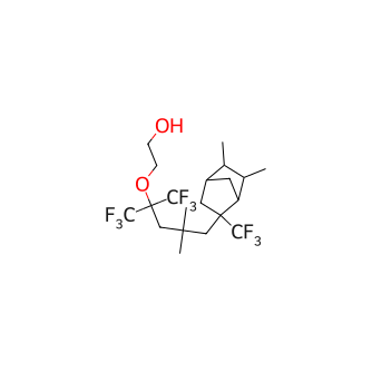 CC1C2CC(C1C)C(CC(C)(C)CC(OCCO)(C(F)(F)F)C(F)(F)F)(C(F)(F)F)C2